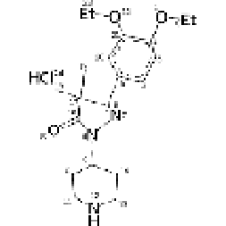 CCOc1ccc(C2=NN(C3CCNCC3)C(=O)C2(C)C)cc1OCC.Cl